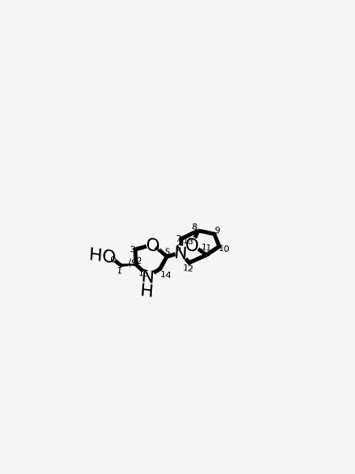 OC[C@H]1COC(N2CC3CCC(C2)O3)CN1